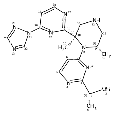 C[C@@H](O)c1nccc(N2[C@@H](C)CNC[C@]2(C)c2nccc(-n3cncn3)n2)n1